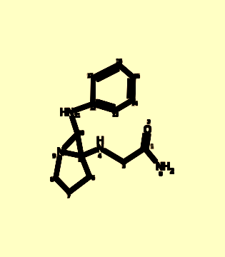 NC(=O)CNC12CCCN1C2Nc1ccccc1